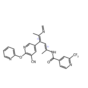 C=N/C(C)=C(\C=C(/C)NC(=O)c1ccnc(C(F)(F)F)c1)c1cnc(Oc2ccccn2)c(C#N)c1